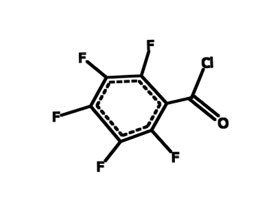 O=C(Cl)c1c(F)c(F)c(F)c(F)c1F